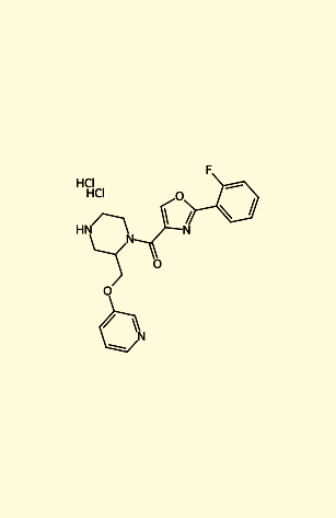 Cl.Cl.O=C(c1coc(-c2ccccc2F)n1)N1CCNCC1COc1cccnc1